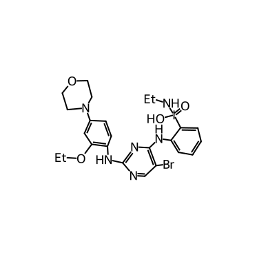 CCNI(=O)(O)c1ccccc1Nc1nc(Nc2ccc(N3CCOCC3)cc2OCC)ncc1Br